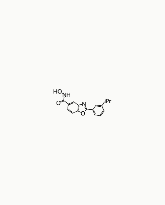 CC(C)c1cccc(-c2nc3cc(C(=O)NO)ccc3o2)c1